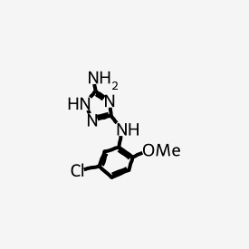 COc1ccc(Cl)cc1Nc1n[nH]c(N)n1